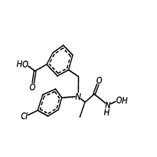 CC(C(=O)NO)N(Cc1cccc(C(=O)O)c1)c1ccc(Cl)cc1